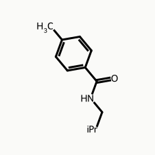 Cc1ccc(C(=O)NCC(C)C)cc1